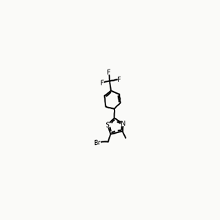 Cc1nc(C2C=CC(C(F)(F)F)=CC2)sc1CBr